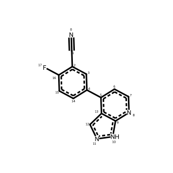 N#Cc1cc(-c2ccnc3[nH]ncc23)ccc1F